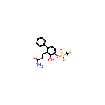 NC(=O)CCc1c(-c2ccccc2)ccc(OS(=O)(=O)C(F)(F)F)c1O